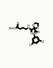 COC(=O)CCCNC(=O)C1(C(=O)Nc2cc(Cl)cc(Cl)c2)OCCS1